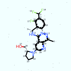 Cc1nnc(N[C@H](C)c2cccc(C(F)F)c2F)c2cc(N3CCC[C@@H]3CO)cnc12